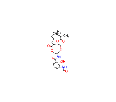 CCCCC1C(=O)OCC(NC(=O)c2cccc(NC=O)c2O)COCC1OC(=O)C(C)C